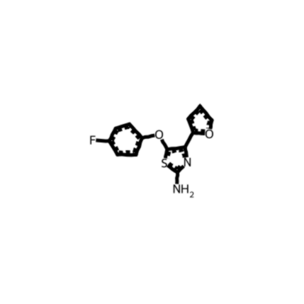 Nc1nc(-c2ccco2)c(Oc2ccc(F)cc2)s1